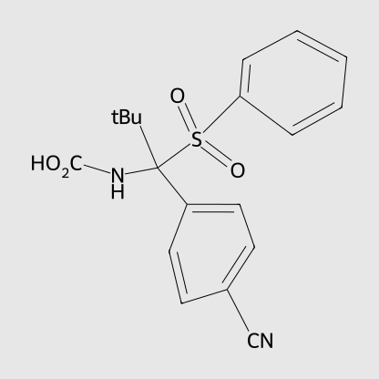 CC(C)(C)C(NC(=O)O)(c1ccc(C#N)cc1)S(=O)(=O)c1ccccc1